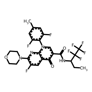 CCC(NC(=O)c1cn(-c2c(F)cc(C)cc2F)c2nc(N3CCOCC3)c(F)cc2c1=O)C(F)(F)C(F)(F)F